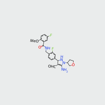 COc1ccc(F)cc1C(=O)NCc1ccc(C2NN(C3CCOC3)C(N)=C2C=O)cc1F